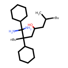 CCCCC(C)CC(O)CC(CCCC)(C1CCCCC1)C(N)(N)C1CCCCC1